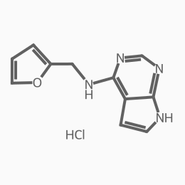 Cl.c1coc(CNc2ncnc3[nH]ccc23)c1